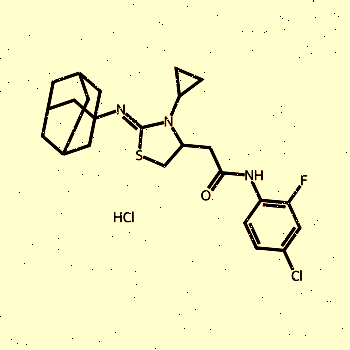 Cl.O=C(CC1CSC(=NC23CC4CC(CC(C4)C2)C3)N1C1CC1)Nc1ccc(Cl)cc1F